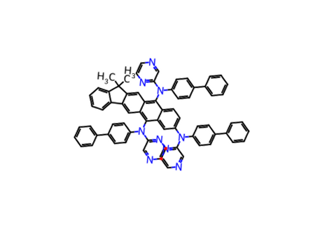 CC1(C)c2ccccc2-c2cc3c(N(c4ccc(-c5ccccc5)cc4)c4cnccn4)c4cc(N(c5ccc(-c6ccccc6)cc5)c5cnccn5)ccc4c(N(c4ccc(-c5ccccc5)cc4)c4cnccn4)c3cc21